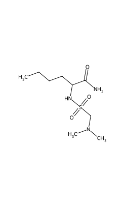 CCCCC(NS(=O)(=O)CN(C)C)C(N)=O